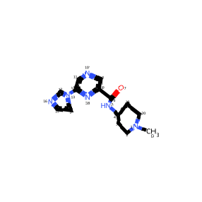 CN1CCC(NC(=O)c2cncc(-n3ccnc3)n2)CC1